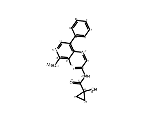 C=C(/C=N\c1c(-c2ccccc2)cnc(OC)c1C)NC(=O)C1(C#N)CC1